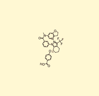 CN(C(=O)c1cccc(-n2nc(C(F)(F)F)c3c2[C@@H](Oc2ccc(C(=O)O)cc2)CCC3)c1)c1cnc2c(c1)OCC2